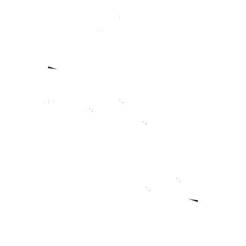 COc1ccccc1C(C)[C@H](C)C(C)CNc1cc(-c2ccnc(N[C@@H](C)CO)c2)ncn1